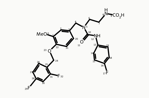 COc1cc(CN(CCNC(=O)O)C(=O)Nc2ccc(F)cc2)ccc1OCc1ccc(F)cc1F